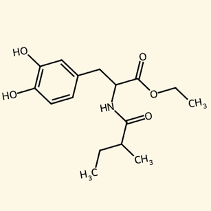 CCOC(=O)C(Cc1ccc(O)c(O)c1)NC(=O)C(C)CC